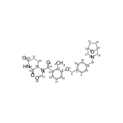 Cc1c(OCc2ccc(CN3CC4CCC(C3)O4)cc2)cccc1C(=O)N(C=O)C1CCC(=O)NC1=O